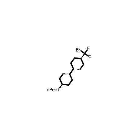 CCCCC[C@H]1CC[C@H]([C@H]2CC[C@H](C(F)(F)Br)CC2)CC1